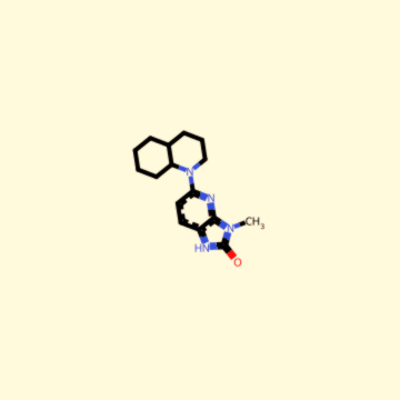 Cn1c(=O)[nH]c2ccc(N3CCCC4CCCCC43)nc21